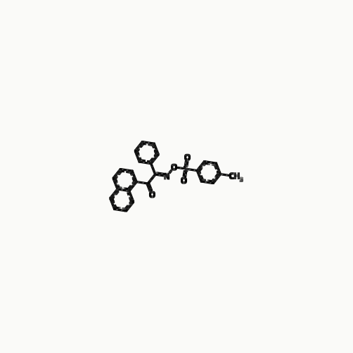 Cc1ccc(S(=O)(=O)O/N=C(/C(=O)c2cccc3ccccc23)c2ccccc2)cc1